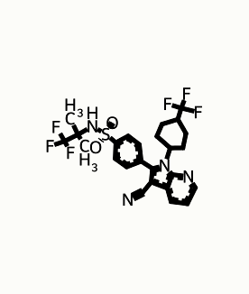 CC(C)(NS(=O)(=O)c1ccc(-c2c(C#N)c3cccnc3n2C2CCC(C(F)(F)F)CC2)cc1)C(F)(F)F